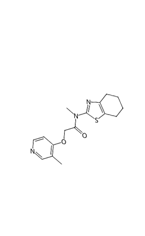 Cc1cnccc1OCC(=O)N(C)c1nc2c(s1)CCCC2